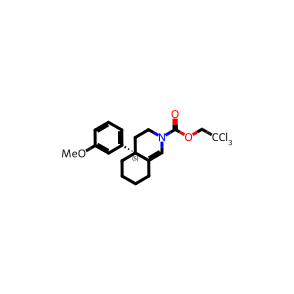 COc1cccc([C@@]23CCCCC2=CN(C(=O)OCC(Cl)(Cl)Cl)CC3)c1